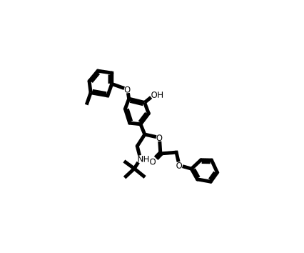 Cc1cccc(Oc2ccc(C(CNC(C)(C)C)OC(=O)COc3ccccc3)cc2O)c1